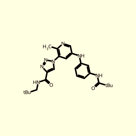 Cc1ncc(Nc2cccc(NC(=O)C(C)(C)C)c2)cc1-n1cc(C(=O)NCC(C)(C)C)nn1